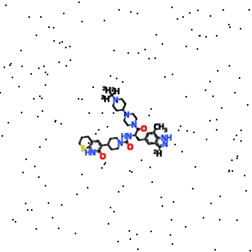 [2H]c1n[nH]c2c(C)cc(C[C@@H](NC(=O)N3CCC(c4cc5c([nH]c4=O)SCCC5)CC3)C(=O)N3CCN(C4CCN(C([2H])([2H])[2H])CC4)CC3)cc12